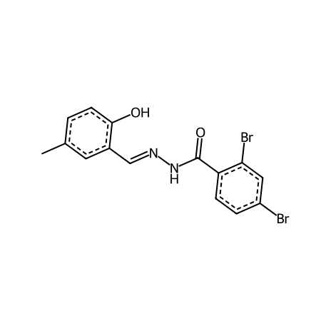 Cc1ccc(O)c(/C=N/NC(=O)c2ccc(Br)cc2Br)c1